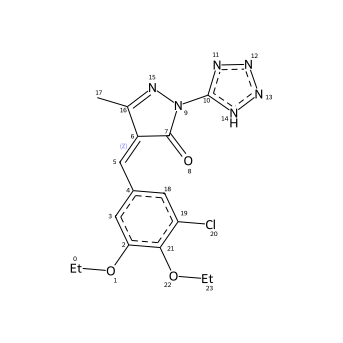 CCOc1cc(/C=C2\C(=O)N(c3nnn[nH]3)N=C2C)cc(Cl)c1OCC